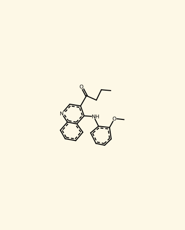 CCCC(=O)c1cnc2ccccc2c1Nc1ccccc1OC